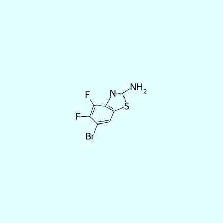 Nc1nc2c(F)c(F)c(Br)cc2s1